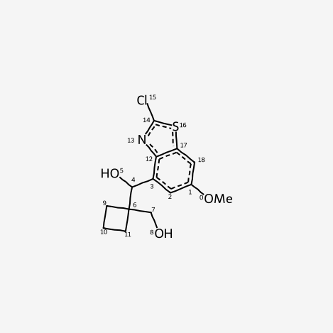 COc1cc(C(O)C2(CO)CCC2)c2nc(Cl)sc2c1